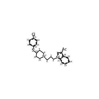 CC(=O)c1cn(CCCN2CCC(Sc3ccc(Cl)cc3)CC2)c2ccccc12